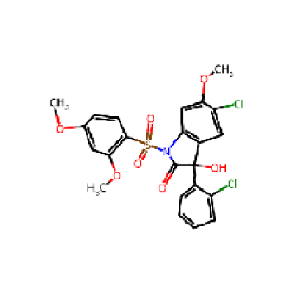 COc1ccc(S(=O)(=O)N2C(=O)C(O)(c3ccccc3Cl)c3cc(Cl)c(OC)cc32)c(OC)c1